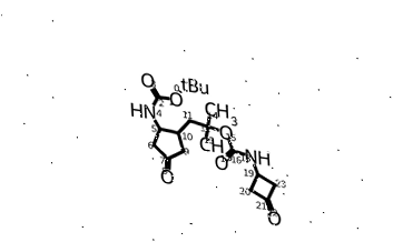 CC(C)(C)OC(=O)NC1CC(=O)CC1CC(C)(C)OC(=O)NC1CC(=O)C1